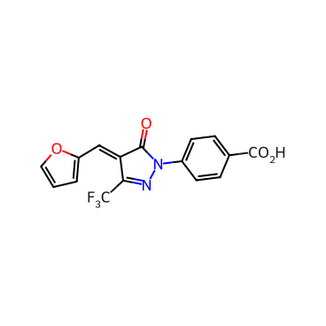 O=C(O)c1ccc(N2N=C(C(F)(F)F)/C(=C\c3ccco3)C2=O)cc1